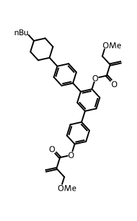 C=C(COC)C(=O)Oc1ccc(-c2ccc(OC(=O)C(=C)COC)c(-c3ccc(C4CCC(CCCC)CC4)cc3)c2)cc1